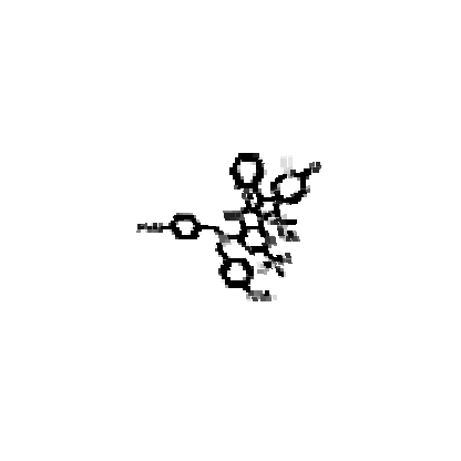 COc1ccc(CN(Cc2ccc(OC)cc2)c2nc(S(C)(=O)=O)nc3c2[nH]c(=O)n3CC2(C(CO[Si](C)(C)C(C)(C)C)c3ccccc3)C=CC(=O)NC2)cc1